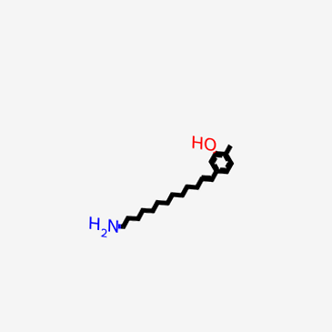 Cc1ccc(C=CCCCCCCCCCCCN)cc1O